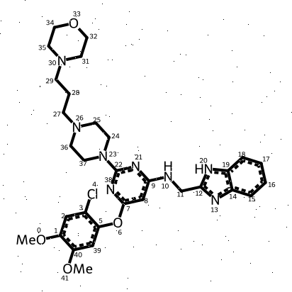 COc1cc(Cl)c(Oc2cc(NCc3nc4ccccc4[nH]3)nc(N3CCN(CCCN4CCOCC4)CC3)n2)cc1OC